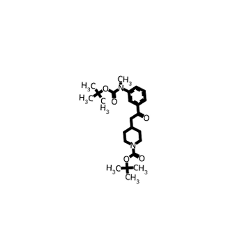 CN(C(=O)OC(C)(C)C)c1cccc(C(=O)CC2CCN(C(=O)OC(C)(C)C)CC2)c1